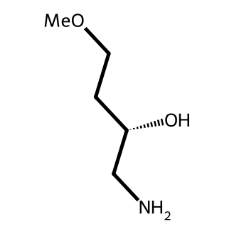 COCC[C@H](O)CN